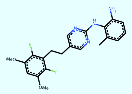 COc1cc(OC)c(F)c(CCc2cnc(Nc3c(C)cccc3N)nc2)c1F